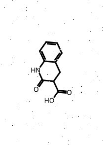 O=C(O)C1Cc2ccccc2NC1=O